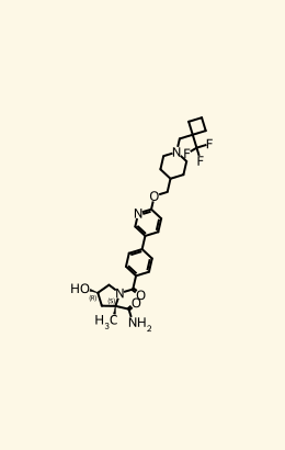 C[C@@]1(C(N)=O)C[C@@H](O)CN1C(=O)c1ccc(-c2ccc(OCC3CCN(CC4(C(F)(F)F)CCC4)CC3)nc2)cc1